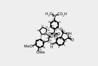 COc1ccc([C@@H](Nc2ccc3c(c2)C(=O)NC3=O)C(=O)N2CCC[C@@H]2c2cc(N(C)C(=O)O)ccc2S(=O)(=O)C(C)C)cc1OC